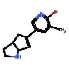 Cc1cc(C2=CC3NCCC3C2)cnc1Br